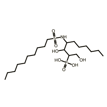 CCCCCCCCCCS(=O)(=O)NC(CCCCCC)C(O)C(CO)P(=O)(O)O